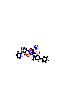 CC(C)(C)C(NC(=O)C(Nc1ccc(-c2ccccc2)cc1)C(O)C(=O)NO)C(=O)Nc1ccccn1